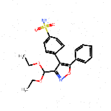 CCOC(OCC)c1noc(-c2ccccc2)c1-c1ccc(S(N)(=O)=O)cc1